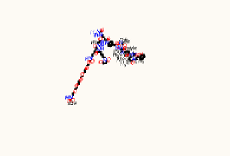 CC[C@H](C)[C@@H]([C@@H](CC(=O)N1CCC[C@H]1[C@H](OC)[C@@H](C)C(=O)N[C@H](C)[C@@H](O)c1ccccc1)OC)N(C)C(=O)[C@@H](NC(=O)[C@H](C(C)C)N(C)C(=O)OCc1ccc(NC(=O)[C@H](CCCNC(N)=O)NC(=O)[C@@H](NC(=O)[C@H](CCCCNC(=O)OCCOCCOCCOCCOCCOCCNC(=O)OC(C)(C)C)NC(=O)CCCCCN2C(=O)C=CC2=O)C(C)C)cc1)C(C)C